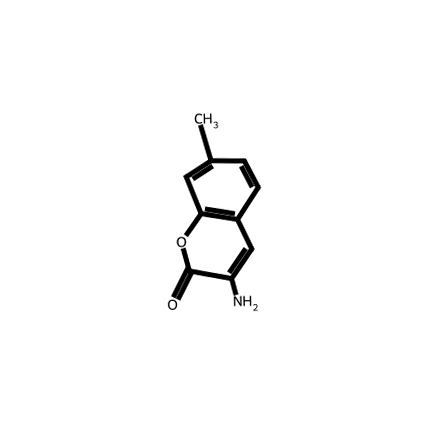 Cc1ccc2cc(N)c(=O)oc2c1